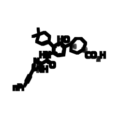 CCCC#Cc1cnc(C(=O)Nc2ccc([C@@]3(O)CCC[C@H](C(=O)O)CC3)cc2C2=CCC(C)(C)CC2)[nH]1